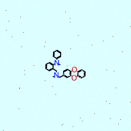 CN(Cc1ccc2c(c1)Oc1ccccc1O2)Cc1ccccc1N(C)c1ccccc1